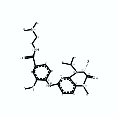 COc1cc(C(=O)NCCN(C)C)ccc1Nc1ccc2c(n1)N(C(C)C)[C@H](C)C(=O)N2C